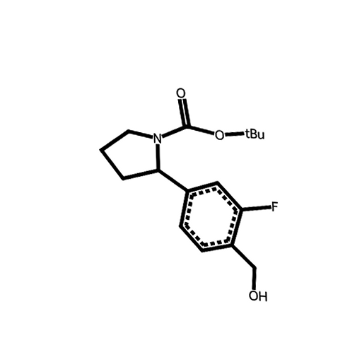 CC(C)(C)OC(=O)N1CCCC1c1ccc(CO)c(F)c1